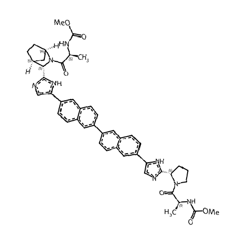 COC(=O)N[C@@H](C)C(=O)N1CCC[C@H]1c1ncc(-c2ccc3cc(-c4ccc5cc(-c6cnc([C@@H]7[C@H]8CC[C@H](C8)N7C(=O)[C@H](C)NC(=O)OC)[nH]6)ccc5c4)ccc3c2)[nH]1